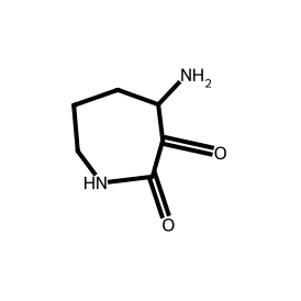 NC1CCCNC(=O)C1=O